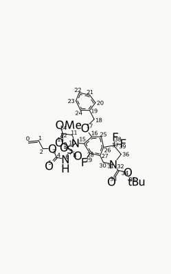 C=CCOC(=O)NS(=O)(=O)N(CC(=O)OC)c1c(OCc2ccccc2)cc2c(c1F)CN(C(=O)OC(C)(C)C)CC2(F)F